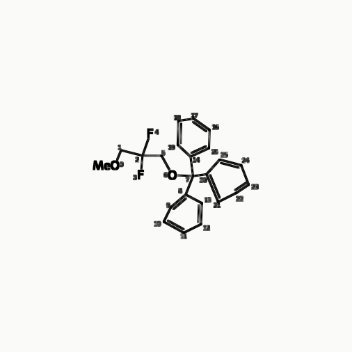 COCC(F)(F)COC(c1ccccc1)(c1ccccc1)c1ccccc1